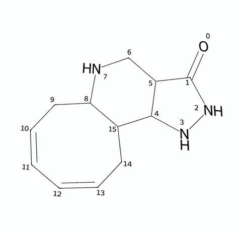 O=C1NNC2C1CNC1C/C=C\C=C/CC12